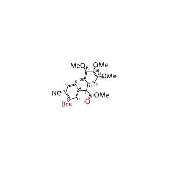 COC(=O)C(c1ccc(C#N)c(Br)c1)c1cc(OC)c(OC)c(OC)c1